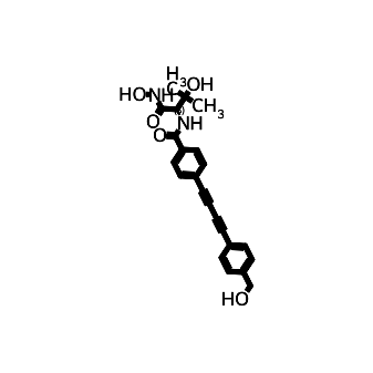 CC(C)(O)[C@H](NC(=O)c1ccc(C#CC#Cc2ccc(CO)cc2)cc1)C(=O)NO